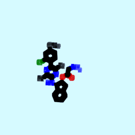 CCc1nc(-c2ccc(OC)cc2Cl)c(CC)nc1N[C@H]1c2ccccc2C[C@@H]1OC(=O)CN